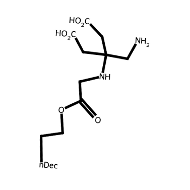 CCCCCCCCCCCCOC(=O)CNC(CN)(CC(=O)O)CC(=O)O